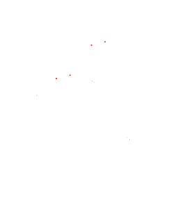 CC(C)(C)c1ccc(N(c2cccc(-c3cccc4c5ccccc5n(-c5ccccc5)c34)c2)c2ccccc2-c2cccc3cccc(-c4ccccc4)c23)cc1